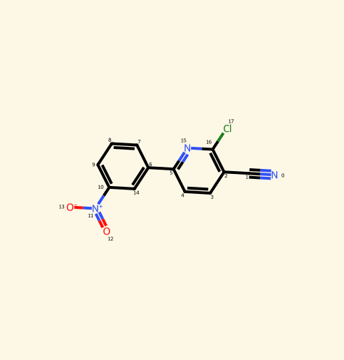 N#Cc1ccc(-c2cccc([N+](=O)[O-])c2)nc1Cl